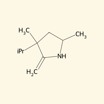 C=C1NC(C)CC1(C)C(C)C